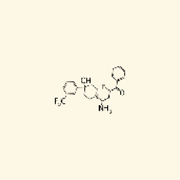 NC(CC(F)C(=O)c1ccccc1)N1CCC(O)(c2cccc(C(F)(F)F)c2)CC1